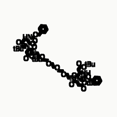 CC(C)(C)OC(=O)CC(NC(=O)OCc1ccccc1)C(=O)NC(CC(=O)OC(C)(C)C)C(=O)NCCOCCOCCOCCOCCNC(=O)C(CC(=O)OC(C)(C)C)NC(=O)C(CC(=O)OC(C)(C)C)NC(=O)OCc1ccccc1